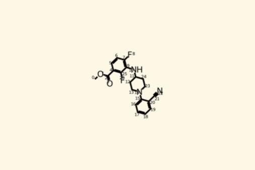 COC(=O)c1ccc(F)c(NC2CCN(c3ccccc3C#N)CC2)c1F